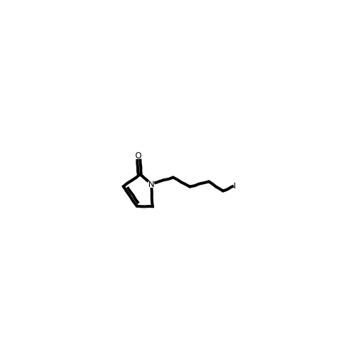 O=C1C=CCN1CCCCI